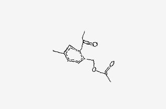 CC(=O)OCc1ccc(C)cc1C(C)=O